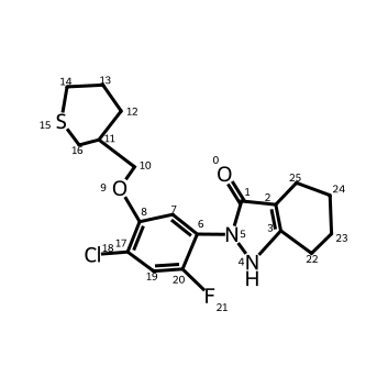 O=c1c2c([nH]n1-c1cc(OCC3CCCSC3)c(Cl)cc1F)CCCC2